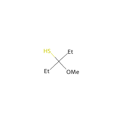 CCC(S)(CC)OC